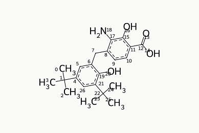 CC(C)(C)c1cc(Cc2ccc(C(=O)O)c(O)c2N)c(O)c(C(C)(C)C)c1